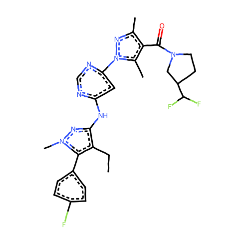 CCc1c(Nc2cc(-n3nc(C)c(C(=O)N4CCC(C(F)F)C4)c3C)ncn2)nn(C)c1-c1ccc(F)cc1